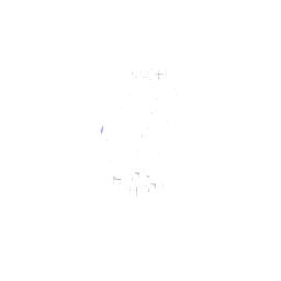 CCCCCCCC/C=C\CCCCCCCC(=O)O.CCCCCCCCCCCCCC(=O)O.CCCCCCCCCCCCCCCC(=O)O